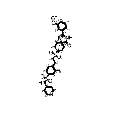 Cc1cc(S(=O)(=O)Nc2ccncc2)ccc1CCS(=O)(=O)N1CCC2(CC1)N=C(c1cccc(OC(F)(F)F)c1)NC2=O